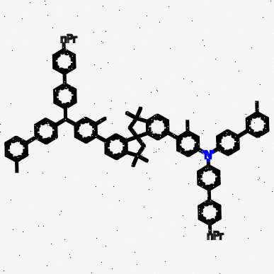 CCCc1ccc(-c2ccc(C(c3ccc(-c4cccc(C)c4)cc3)c3ccc(-c4ccc5c(c4)C4(CC5(C)C)CC(C)(C)c5ccc(-c6ccc(N(c7ccc(-c8ccc(CCC)cc8)cc7)c7ccc(-c8cccc(C)c8)cc7)cc6C)cc54)c(C)c3)cc2)cc1